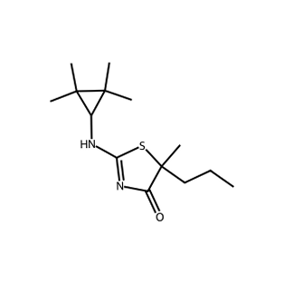 CCCC1(C)SC(NC2C(C)(C)C2(C)C)=NC1=O